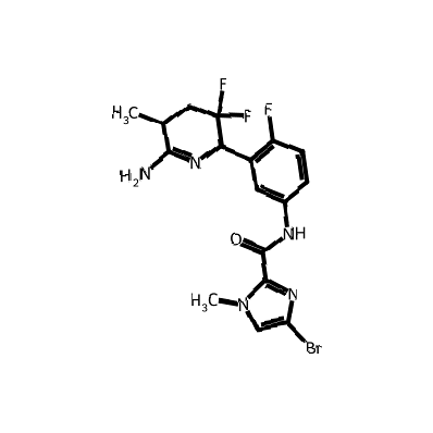 CC1CC(F)(F)C(c2cc(NC(=O)c3nc(Br)cn3C)ccc2F)N=C1N